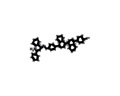 N/C(=C\C(=N/Cc1ccc(-c2ccc(-c3ccc(-c4ccc(I)cc4)c4ccccc34)c3ccccc23)cc1)c1ccccc1)c1ccccc1